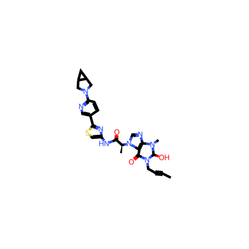 CC#CCN1C(=O)c2c(ncn2[C@@H](C)C(=O)Nc2csc(-c3ccc(N4CC5CC5C4)nc3)n2)N(C)C1O